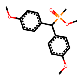 COc1ccc(C(c2ccc(OC)cc2)P(C)(=O)OC)cc1